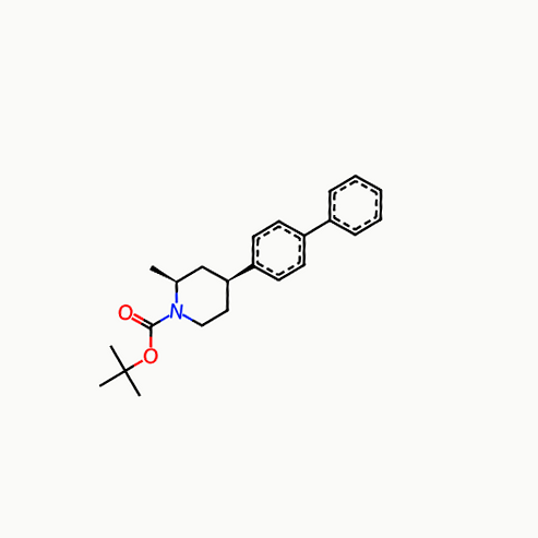 C[C@H]1C[C@@H](c2ccc(-c3ccccc3)cc2)CCN1C(=O)OC(C)(C)C